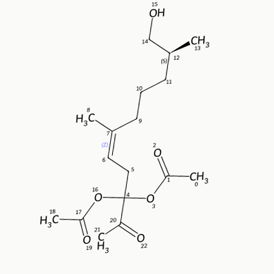 CC(=O)OC(C/C=C(/C)CCC[C@H](C)CO)(OC(C)=O)C(C)=O